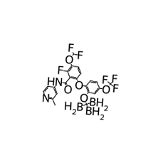 BC(B)(B)Oc1cc(OC(F)(F)F)ccc1Oc1ccc(OC(F)F)c(F)c1C(=O)Nc1ccnc(C)c1